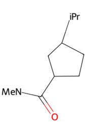 CNC(=O)C1CCC(C(C)C)C1